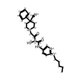 CCCCCOc1ccc(NC(=O)N(S)C(=O)CN2CCC(C#N)(c3ccccc3)CC2)cn1